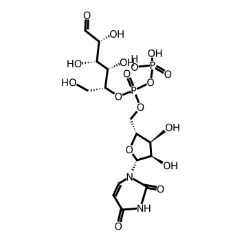 O=C[C@H](O)[C@@H](O)[C@H](O)[C@@H](CO)OP(=O)(OC[C@H]1O[C@@H](n2ccc(=O)[nH]c2=O)[C@H](O)[C@@H]1O)OP(=O)(O)O